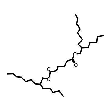 CCCCCCCC(CCCCC)COC(=O)CCCCC(=O)OCC(CCCCC)CCCCCCC